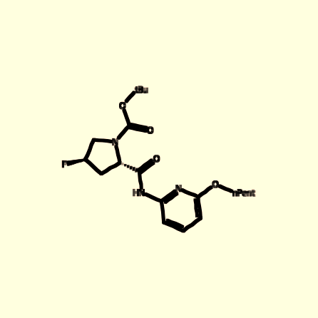 CCCCCOc1cccc(NC(=O)[C@@H]2C[C@@H](F)CN2C(=O)OC(C)(C)C)n1